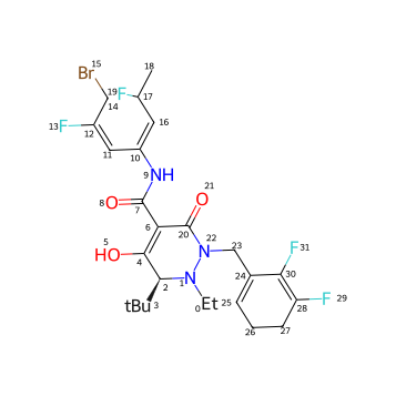 CCN1[C@@H](C(C)(C)C)C(O)=C(C(=O)NC(/C=C(/F)CBr)=C/C(C)F)C(=O)N1CC1=CCCC(F)=C1F